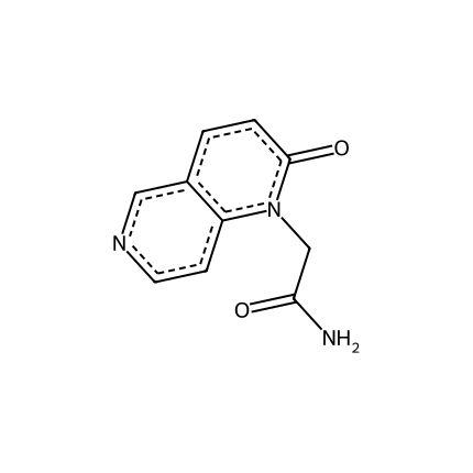 NC(=O)Cn1c(=O)ccc2cnccc21